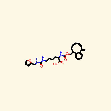 C=C1/C=C\C=C/CC(COC(=O)NC(CCCCNC(=O)NCc2ccco2)C(=O)O)c2ccccc21